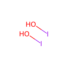 OI.OI